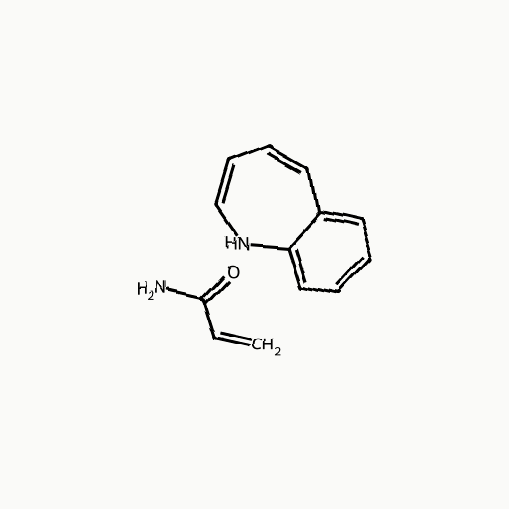 C1=CNc2ccccc2C=C1.C=CC(N)=O